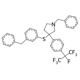 FC(F)(F)C(F)(c1ccc(C2(Sc3cccc(Cc4ccccc4)c3)CCN(Cc3ccccc3)C2)cc1)C(F)(F)F